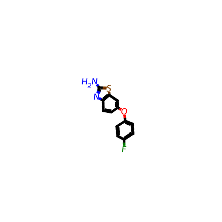 Nc1nc2ccc(Oc3ccc(F)cc3)cc2s1